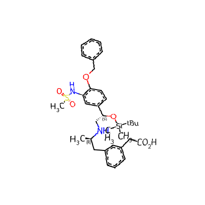 C[C@H](Cc1cccc(CC(=O)O)c1)NC[C@@H](O[Si](C)(C)C(C)(C)C)c1ccc(OCc2ccccc2)c(NS(C)(=O)=O)c1